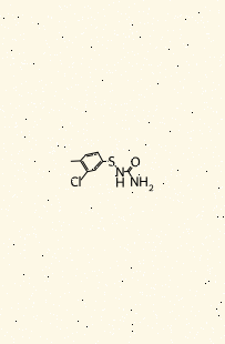 Cc1ccc(SNC(N)=O)cc1Cl